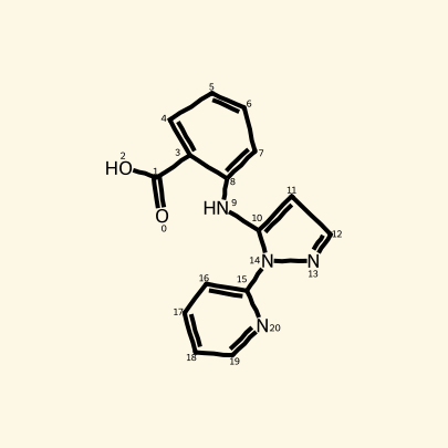 O=C(O)c1ccccc1Nc1ccnn1-c1ccccn1